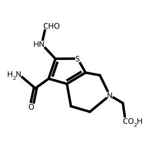 NC(=O)c1c(NC=O)sc2c1CCN(CC(=O)O)C2